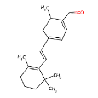 CC1=C(/C=C/C2=CC=C(C=O)C(C)C2)C(C)(C)CCC1